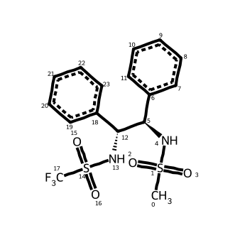 CS(=O)(=O)N[C@H](c1ccccc1)[C@H](NS(=O)(=O)C(F)(F)F)c1ccccc1